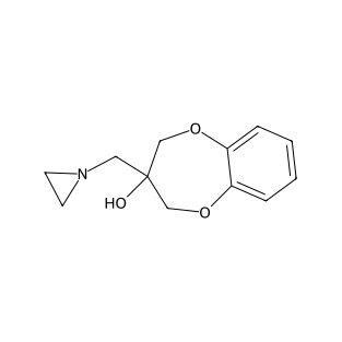 OC1(CN2CC2)COc2ccccc2OC1